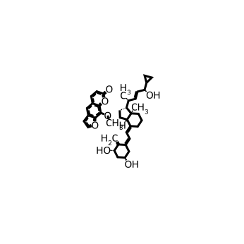 C=C1/C(=C\C=C2/CCC[C@]3(C)[C@@H]([C@H](C)/C=C/[C@@H](O)C4CC4)CC[C@@H]23)C[C@@H](O)C[C@@H]1O.COc1c2occc2cc2ccc(=O)oc12